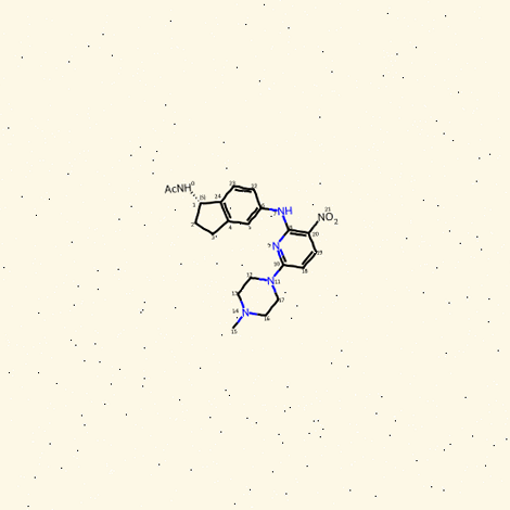 CC(=O)N[C@H]1CCc2cc(Nc3nc(N4CCN(C)CC4)ccc3[N+](=O)[O-])ccc21